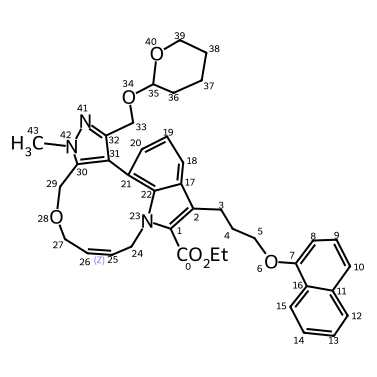 CCOC(=O)c1c(CCCOc2cccc3ccccc23)c2cccc3c2n1C/C=C\COCc1c-3c(COC2CCCCO2)nn1C